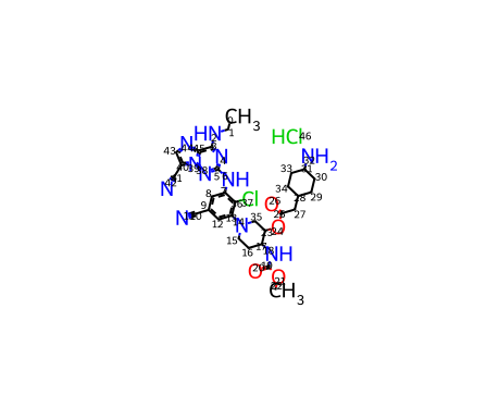 CCNc1nc(Nc2cc(C#N)cc(N3CCC(NC(=O)OC)C(OC(=O)CC4CCC(N)CC4)C3)c2Cl)nn2c(C#N)cnc12.Cl